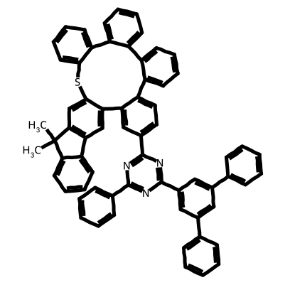 CC1(C)c2ccccc2-c2cc3c(cc21)Sc1ccccc1-c1ccccc1-c1ccccc1-c1ccc(-c2nc(-c4ccccc4)nc(-c4cc(-c5ccccc5)cc(-c5ccccc5)c4)n2)cc1-3